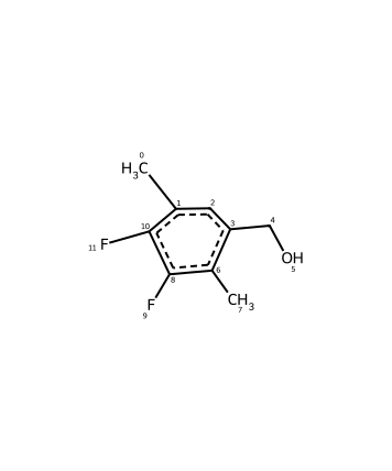 Cc1cc(CO)c(C)c(F)c1F